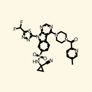 Cc1ccc(C(=O)N2CCN(c3ncnc4c3c3ccc(S(=O)(=O)NC5(C#N)CC5)cc3n4-c3nnc(C(F)F)s3)CC2)nc1